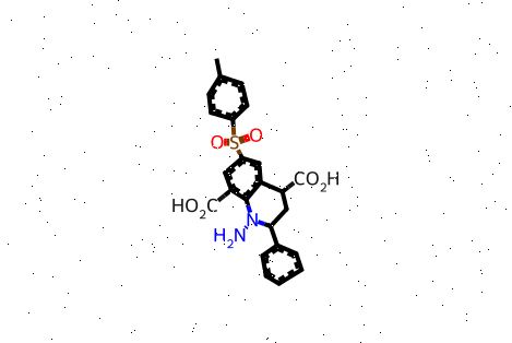 Cc1ccc(S(=O)(=O)c2cc(C(=O)O)c3c(c2)C(C(=O)O)CC(c2ccccc2)N3N)cc1